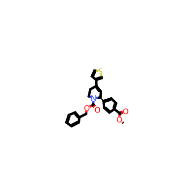 COC(=O)c1ccc([C@@H]2C=C(c3ccsc3)CCN2C(=O)OCc2ccccc2)cc1